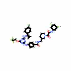 O=C(Nc1cc(F)cc(F)c1)C(=O)N1CCCC(CNC(=O)c2ccc(Nc3nc(NC4(c5ccc(Cl)cc5)CC4)nc(OCC(F)(F)F)n3)cc2)C1